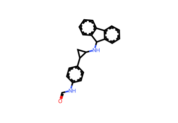 O=CNc1ccc(C2CC2NC2c3ccccc3-c3ccccc32)cc1